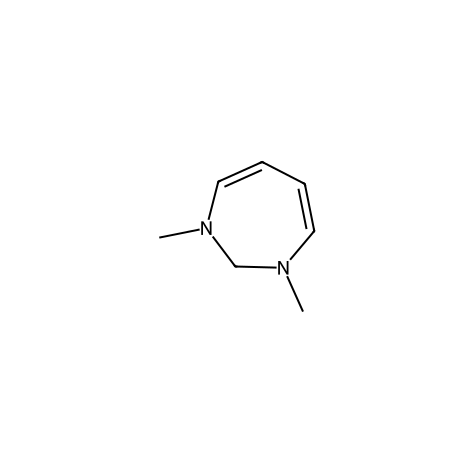 CN1C=CC=CN(C)C1